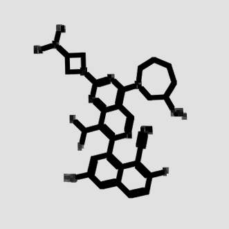 C#Cc1c(F)ccc2cc(O)cc(-c3ncc4c(N5CCCCC(N)C5)nc(N5CC(N(CC)CC)C5)nc4c3C(F)F)c12